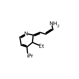 CCC1C(C(C)C)=CC=N/C1=C/C=C\N